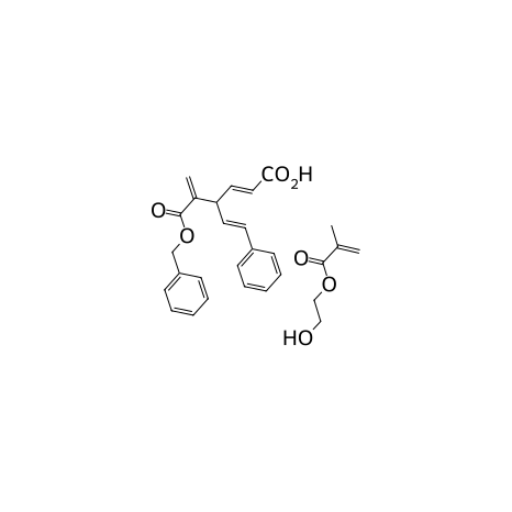 C=C(C(=O)OCc1ccccc1)C(C=CC(=O)O)C=Cc1ccccc1.C=C(C)C(=O)OCCO